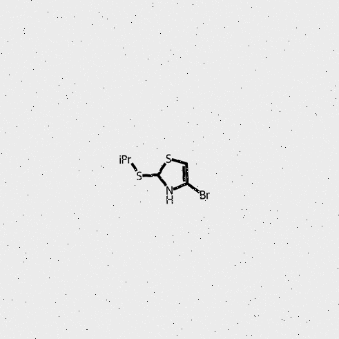 CC(C)SC1NC(Br)=CS1